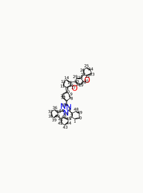 c1ccc(-c2nc(-c3ccc(-c4cccc5c4oc4cc6oc7ccccc7c6cc45)cc3)nc(-c3ccccc3-c3ccccc3)n2)cc1